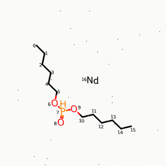 CCCCCCO[PH](=O)OCCCCCC.[Nd]